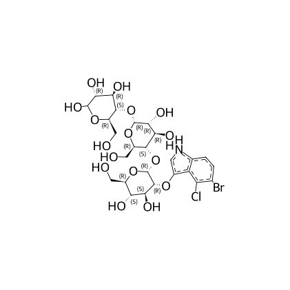 OC[C@H]1O[C@H](O[C@H]2[C@H](O)[C@@H](O)[C@@H](O[C@H]3[C@H](O)[C@@H](O)C(O)O[C@@H]3CO)O[C@@H]2CO)[C@H](Oc2c[nH]c3ccc(Br)c(Cl)c23)[C@@H](O)[C@@H]1O